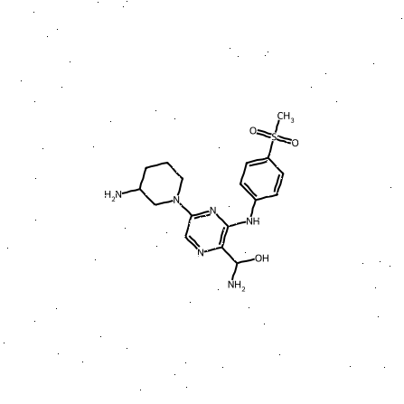 CS(=O)(=O)c1ccc(Nc2nc(N3CCCC(N)C3)cnc2C(N)O)cc1